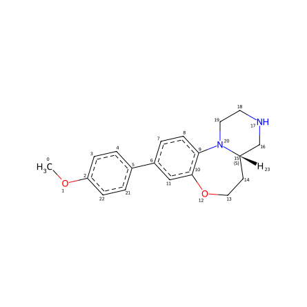 COc1ccc(-c2ccc3c(c2)OCC[C@H]2CNCCN32)cc1